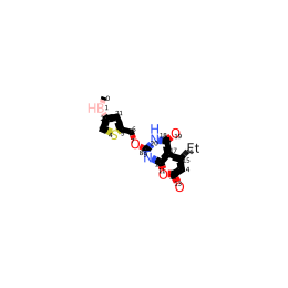 CBc1csc(COc2nc3oc(=O)cc(CC)c3c(=O)[nH]2)c1